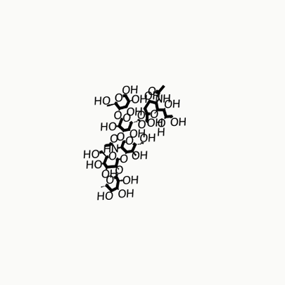 CC(=O)N[C@H]1[C@H](O[C@H]2[C@@H](O)[C@@H](CO[C@]3(C(=O)O)C[C@H](O)[C@@H](NC(C)=O)[C@H]([C@H](O)[C@H](O)CO)O3)O[C@@H](O[C@H]3[C@H](O)[C@@H](O)C(O)O[C@@H]3CO)[C@@H]2O)O[C@H](CO)[C@@H](O)[C@@H]1O[C@@H]1O[C@H](CO)[C@H](O)[C@H](O)[C@H]1O[C@@H]1O[C@@H](C)[C@@H](O)[C@@H](O)[C@@H]1O